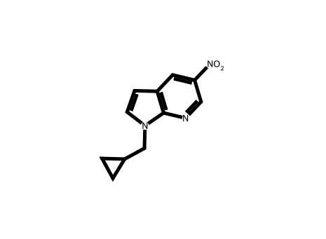 O=[N+]([O-])c1cnc2c(ccn2CC2CC2)c1